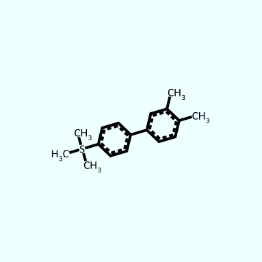 Cc1ccc(-c2ccc(S(C)(C)C)cc2)cc1C